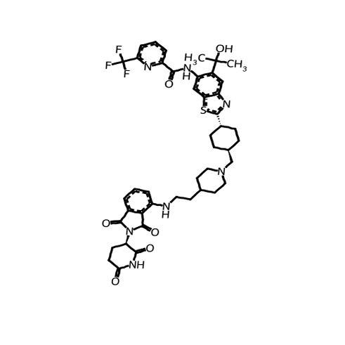 CC(C)(O)c1cc2nc([C@H]3CC[C@H](CN4CCC(CCNc5cccc6c5C(=O)N([C@@H]5CCC(=O)NC5=O)C6=O)CC4)CC3)sc2cc1NC(=O)c1cccc(C(F)(F)F)n1